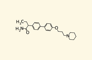 CCC(C(N)=O)c1ccc(-c2ccc(OCCCN3CCCCC3)cc2)cc1